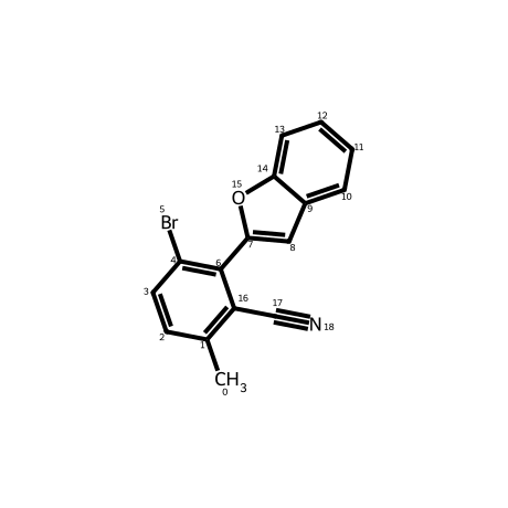 Cc1ccc(Br)c(-c2cc3ccccc3o2)c1C#N